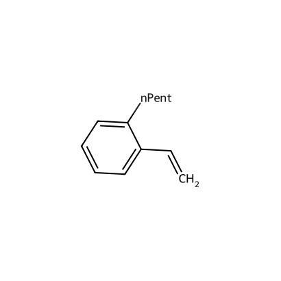 C=Cc1ccccc1CCCCC